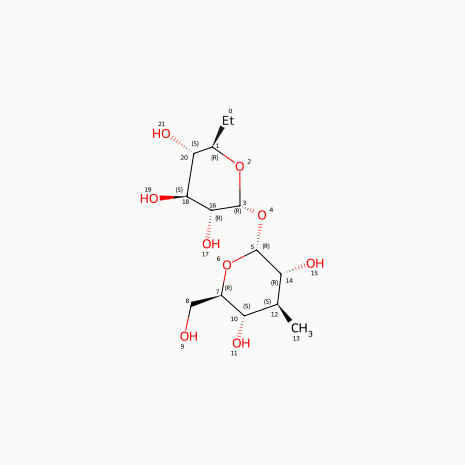 CC[C@H]1O[C@H](O[C@H]2O[C@H](CO)[C@@H](O)[C@H](C)[C@H]2O)[C@H](O)[C@@H](O)[C@@H]1O